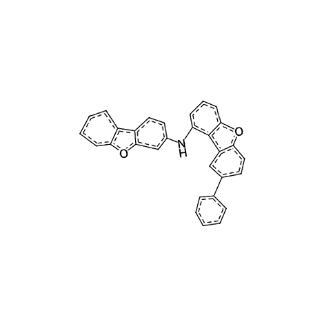 c1ccc(-c2ccc3oc4cccc(Nc5ccc6c(c5)oc5ccccc56)c4c3c2)cc1